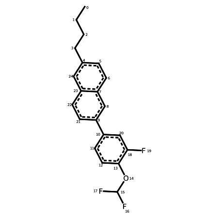 CCCCc1ccc2cc(-c3ccc(OC(F)F)c(F)c3)ccc2c1